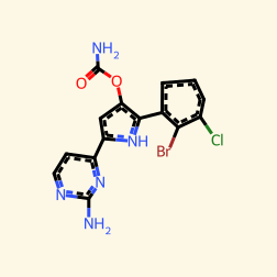 NC(=O)Oc1cc(-c2ccnc(N)n2)[nH]c1-c1cccc(Cl)c1Br